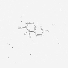 Cc1ccc2c(c1)CNC(=O)C2(C)C